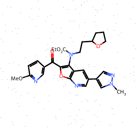 CCOC(=O)N(CCC1CCCO1)c1c(C(=O)c2ccc(OC)nc2)oc2ncc(-c3cnn(C)c3)cc12